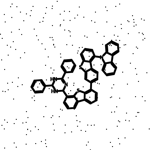 c1ccc(C2=NC(c3cccc4c3sc3c(-c5ccc6c(c5)sc5cccc(-n7c8ccccc8c8ccccc87)c56)cccc34)NC(c3ccccc3)N2)cc1